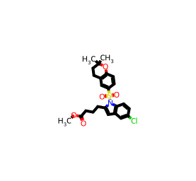 COC(=O)CCCc1cc2cc(Cl)ccc2n1S(=O)(=O)c1ccc2c(c1)CCC(C)(C)O2